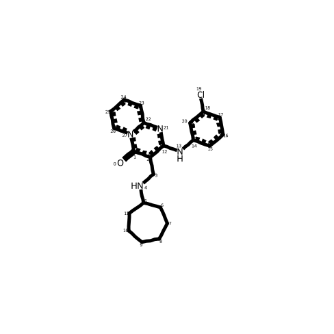 O=c1c(CNC2CCCCCC2)c(Nc2cccc(Cl)c2)nc2ccccn12